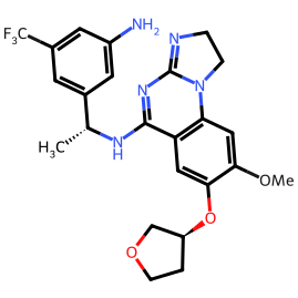 COc1cc2c(cc1O[C@H]1CCOC1)C(N[C@H](C)c1cc(N)cc(C(F)(F)F)c1)=NC1=NCCN12